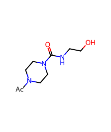 CC(=O)N1CCN(C(=O)NCCO)CC1